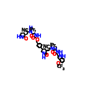 CC(C)C[C@H](NC(=O)OCc1ccc(C2CNC(=O)/C(=C/[C@@H](C#N)NC(=O)[C@H](CC(C)C)NC(=O)c3cc4c(OC(F)(F)F)cccc4[nH]3)C2)cc1)C(=O)N[C@H](C#N)C[C@@H]1CCCNC1=O